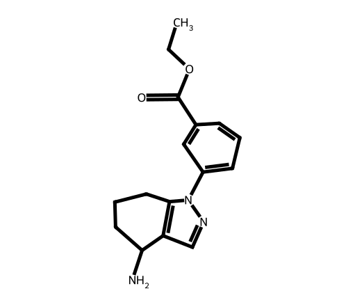 CCOC(=O)c1cccc(-n2ncc3c2CCCC3N)c1